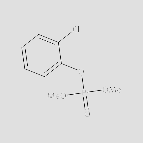 COP(=O)(OC)Oc1ccccc1Cl